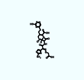 Nc1nc(C(=NOCC(=O)O)C(=O)NC2C(=O)N3C(C(=O)O)=C(CSc4cnnc(O)n4)C[S+]([O-])[C@@H]23)cs1